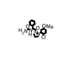 COc1ccc(Cl)c(N2CCCN2C(=O)[C@@H](NC(N)=O)c2ccccc2)c1